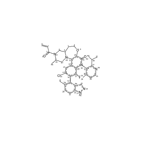 C=CC(=O)N1CC2CCOc3c(c4cc(Cl)c(-c5c(C)ccc6[nH]ncc56)c(F)c4n(-c4c(C)ccnc4C(C)C)c3=O)N2CC1C